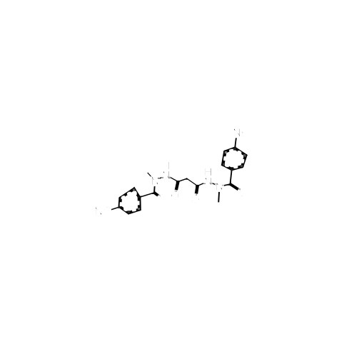 [C-]#[N+]c1ccc(C(=S)N(C)NC(=O)CC(=O)NN(C)C(=S)c2ccc(C#N)cc2)cc1